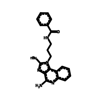 CCCCc1nc2c(N)nc3ccccc3c2n1CCCNC(=O)c1ccccc1